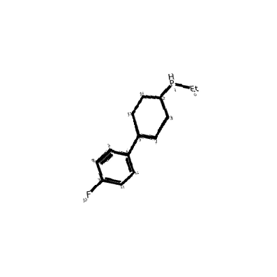 CCPC1CCC(c2ccc(F)cc2)CC1